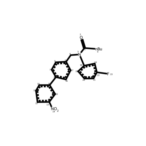 CCCCC(=O)N(Cc1ccc(-c2cccc([N+](=O)[O-])c2)cc1)c1cccc(F)c1